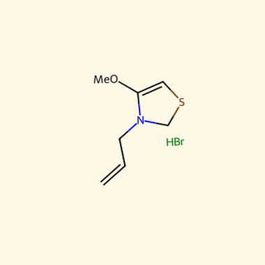 Br.C=CCN1CSC=C1OC